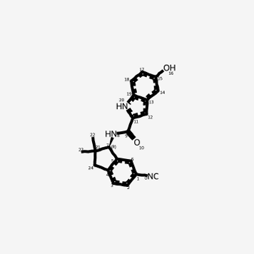 [C-]#[N+]c1ccc2c(c1)[C@H](NC(=O)c1cc3cc(O)ccc3[nH]1)C(C)(C)C2